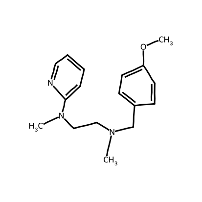 COc1ccc(CN(C)CCN(C)c2ccccn2)cc1